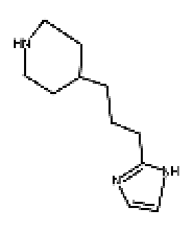 c1c[nH]c(CCCC2CCNCC2)n1